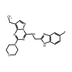 Fc1ccc2[nH]c(CNc3nc(N4CCOCC4)nc4c(CC(F)(F)F)cnn34)nc2c1